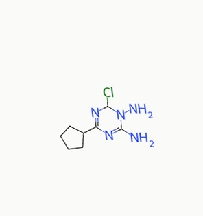 NC1=NC(C2CCCC2)=NC(Cl)N1N